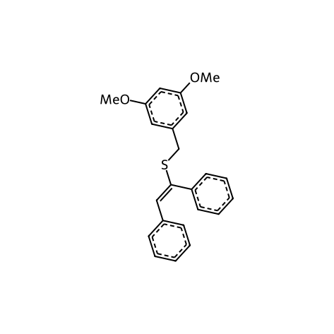 COc1cc(CSC(=Cc2ccccc2)c2ccccc2)cc(OC)c1